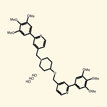 COc1cc(-c2cc(COC3CCN(Cc4ccnc(-c5cc(OC)c(OC)c(OC)c5)c4)CC3)ccn2)cc(OC)c1OC.Cl.Cl.Cl